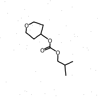 CC(C)COC(=O)OC1CCOCC1